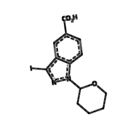 O=C(O)c1ccc2c(c1)c(I)nn2C1CCCCO1